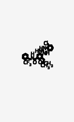 CC1(C)Cc2c3c(cc(C(=O)NCc4ccccc4C(F)(F)F)c2O1)NC(Nc1c(F)cccc1Cl)N3